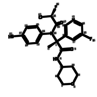 C[C@](C(=O)NC1CCOCC1)(c1cncc(F)c1)N(C(=O)[C@H](F)Cl)c1ccc(S)cc1